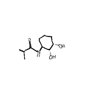 CC(C)C(=O)NC1CCC[C@H](O)[C@@H]1O